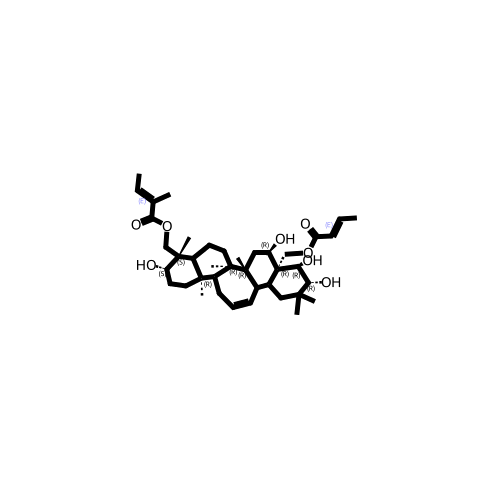 C/C=C/C(=O)OC[C@@]12C(CC(C)(C)[C@@H](O)[C@@H]1O)C1C=CCC3[C@@]4(C)CC[C@H](O)[C@](C)(COC(=O)/C(C)=C/C)C4CC[C@@]3(C)[C@]1(C)C[C@H]2O